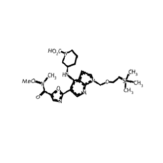 CON(C)C(=O)c1cnc(-c2cnc3c(ccn3COCC[Si](C)(C)C)c2N[C@@H]2CCCN(C(=O)O)C2)o1